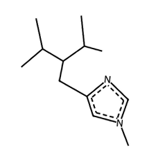 CC(C)C(Cc1cn(C)cn1)C(C)C